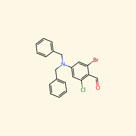 O=Cc1c(Cl)cc(N(Cc2ccccc2)Cc2ccccc2)cc1Br